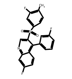 Cc1ccc(S(=O)(=O)c2cnc3cc(F)ccc3c2-c2cccc(F)c2)cc1F